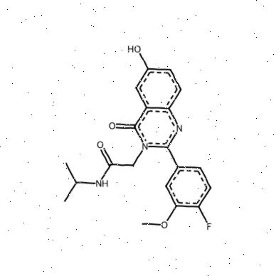 COc1cc(-c2nc3ccc(O)cc3c(=O)n2CC(=O)NC(C)C)ccc1F